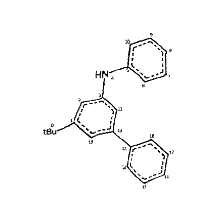 CC(C)(C)c1cc(Nc2ccccc2)cc(-c2ccccc2)c1